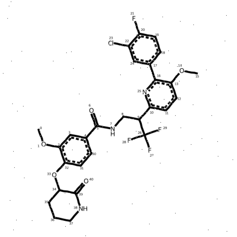 COc1cc(C(=O)NCC(c2ccc(OC)c(-c3ccc(F)c(Cl)c3)n2)C(F)(F)F)ccc1OC1CCCNC1=O